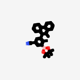 Cc1c(B2OC(C)(C)C(C)(C)O2)cc(C#N)cc1-c1c(C)c2ccccc2c2ccccc12